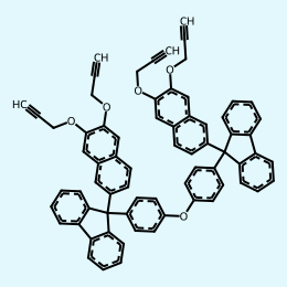 C#CCOc1cc2ccc(C3(c4ccc(Oc5ccc(C6(c7ccc8cc(OCC#C)c(OCC#C)cc8c7)c7ccccc7-c7ccccc76)cc5)cc4)c4ccccc4-c4ccccc43)cc2cc1OCC#C